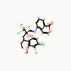 CCC(CC(O)(C=Nc1cccc2c(=O)occc12)C(F)(F)F)c1ccc(Cl)c(F)c1OC